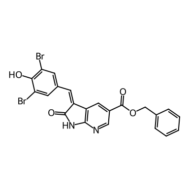 O=C1Nc2ncc(C(=O)OCc3ccccc3)cc2C1=Cc1cc(Br)c(O)c(Br)c1